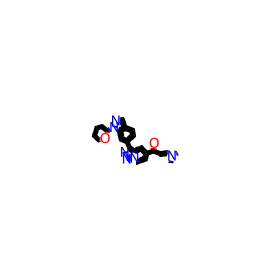 CN(C)/C=C/C(=O)c1ccn2nnc(-c3ccc4cnn(C5CCCCO5)c4c3)c2c1